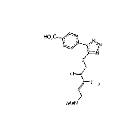 CNC/C=C(\C)C(=O)CSc1nnnn1-c1ccc(C(=O)O)cc1